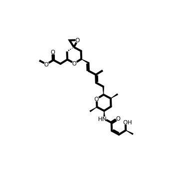 COC(=O)CC1C[C@@]2(CO2)C[C@@H](/C=C/C(C)=C/C[C@@H]2O[C@H](C)[C@H](NC(=O)/C=C\[C@H](C)O)C[C@@H]2C)O1